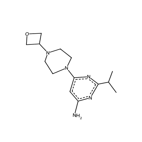 CC(C)c1nc(N)cc(N2CCN(C3COC3)CC2)n1